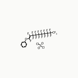 FC(Oc1ccccc1)=C(F)C(F)(F)C(F)(F)C(F)(F)C(F)(F)C(F)(F)C(F)(F)C(F)(F)C(F)(F)F.O=S(=O)(Cl)Cl